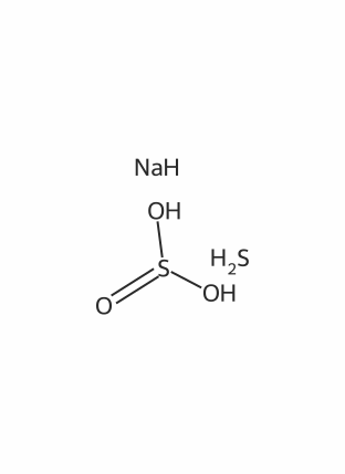 O=S(O)O.S.[NaH]